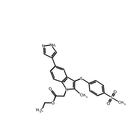 CCOC(=O)Cn1c(C)c(Sc2ccc(S(C)(=O)=O)cc2)c2cc(-c3cn[nH]c3)ccc21